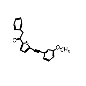 COc1cccc(C#Cc2ccc(C(=O)Cc3ccccc3)s2)c1